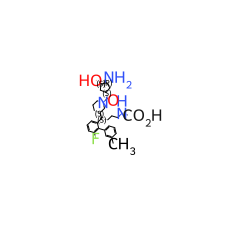 Cc1cccc(-c2c(F)cccc2[C@@H](CCCNC(=O)O)[C@@H]2CCCN(C(=O)[C@H]3C[C@@H](N)[C@@H](O)C3)C2)c1